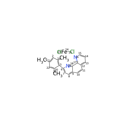 Cc1cc(C)c(-c2ccc3ccc4cccnc4c3n2)c(C)c1.[Cl][Fe][Cl]